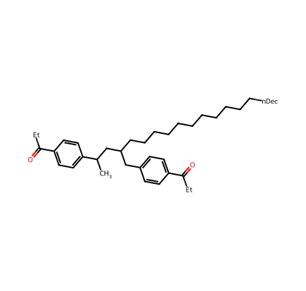 CCCCCCCCCCCCCCCCCCCCCC([CH]C(C)c1ccc(C(=O)CC)cc1)Cc1ccc(C(=O)CC)cc1